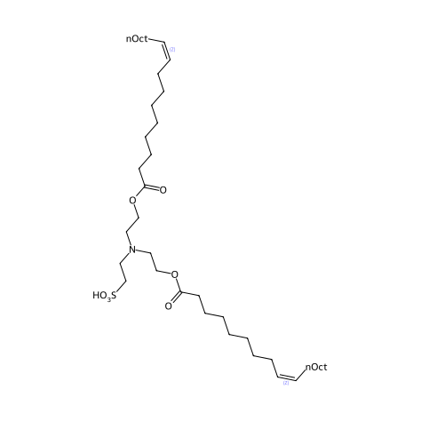 CCCCCCCC/C=C\CCCCCCCC(=O)OCCN(CCOC(=O)CCCCCCC/C=C\CCCCCCCC)CCS(=O)(=O)O